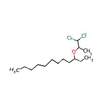 CCCCCCCCCC(CC)OC(C)C(Cl)Cl